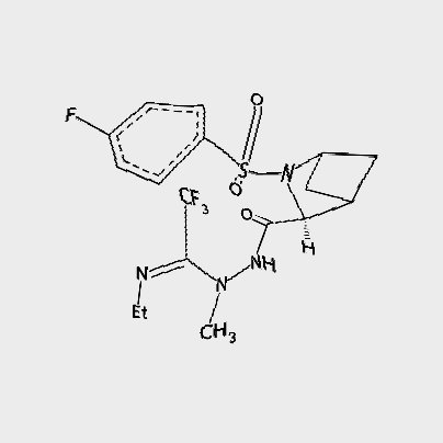 CC/N=C(\N(C)NC(=O)[C@@H]1C2CC(C2)N1S(=O)(=O)c1ccc(F)cc1)C(F)(F)F